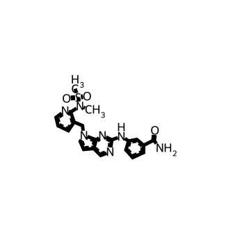 CN(c1ncccc1Cn1ccc2cnc(Nc3cccc(C(N)=O)c3)nc21)S(C)(=O)=O